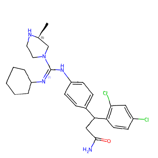 C[C@H]1CN(/C(=N\C2CCCCC2)Nc2ccc(C(CC(N)=O)c3ccc(Cl)cc3Cl)cc2)CCN1